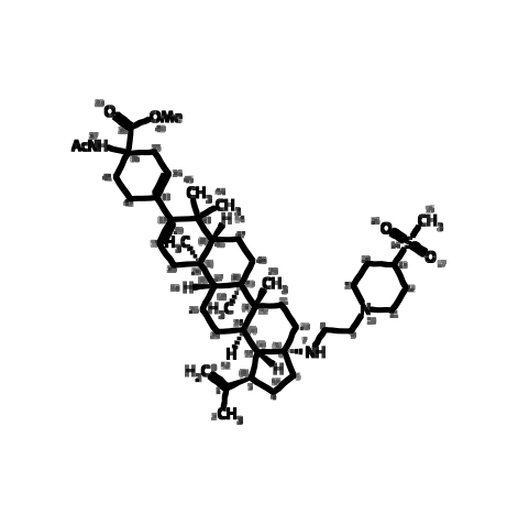 C=C(C)[C@@H]1CC[C@]2(NCCN3CCC(S(C)(=O)=O)CC3)CC[C@]3(C)[C@H](CC[C@@H]4[C@@]5(C)CC=C(C6=CCC(NC(C)=O)(C(=O)OC)CC6)C(C)(C)[C@@H]5CC[C@]43C)[C@@H]12